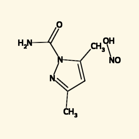 Cc1cc(C)n(C(N)=O)n1.O=NO